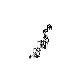 CC(C)NC(=O)O[C@H]1C[C@@H](c2cc(Nc3nccc4nc(CN5CC(n6cccn6)C5)cn34)n[nH]2)C[C@H]1F